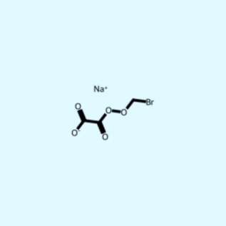 O=C([O-])C(=O)OOCBr.[Na+]